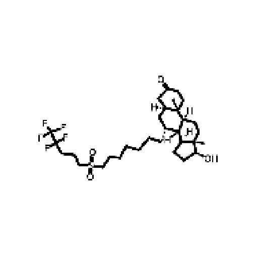 C[C@]12CCC(=O)C[C@@H]1C[C@@H](CCCCCCCS(=O)(=O)CCCC(F)(F)C(F)(F)F)[C@@H]1[C@@H]2CC[C@]2(C)[C@@H](O)CC[C@@H]12